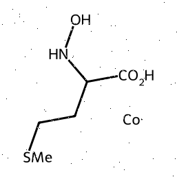 CSCCC(NO)C(=O)O.[Co]